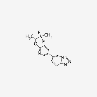 CC(Oc1ccc(-c2cn3cnnc3cn2)cn1)C(C)(F)F